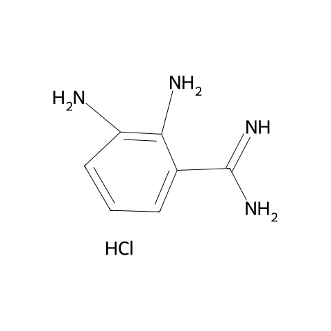 Cl.N=C(N)c1cccc(N)c1N